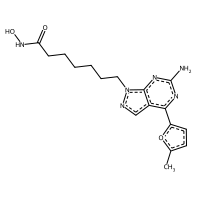 Cc1ccc(-c2nc(N)nc3c2cnn3CCCCCCC(=O)NO)o1